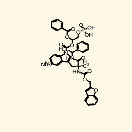 CC(NC(=O)C(C)(Cc1cn(C(=O)OC(COP(=O)(O)O)OC(=O)c2ccccc2)c2ccccc12)NC(=O)OCc1cc2ccccc2o1)c1ccccc1.[Na].[Na]